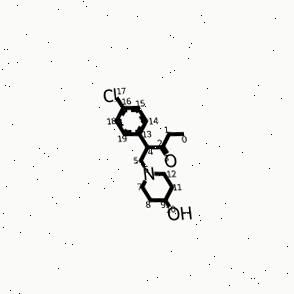 CCC(=O)C(CN1CCC(O)CC1)c1ccc(Cl)cc1